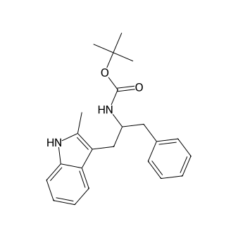 Cc1[nH]c2ccccc2c1CC(Cc1ccccc1)NC(=O)OC(C)(C)C